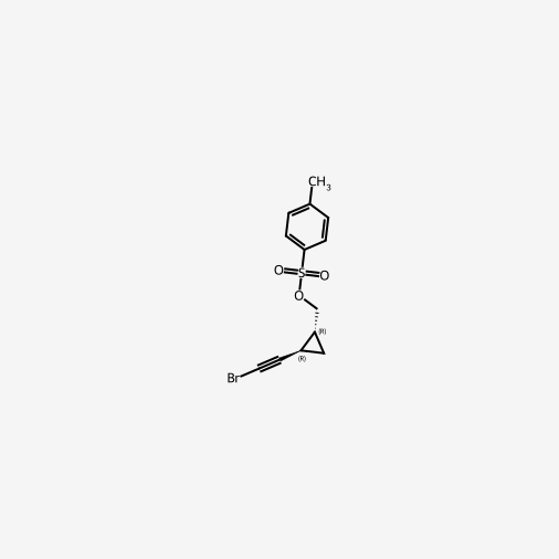 Cc1ccc(S(=O)(=O)OC[C@@H]2C[C@H]2C#CBr)cc1